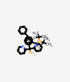 CC(C)(C)P(C[C]12[CH]3[C]4(c5ccccc5)[CH]5[C]1(C(P)(c1ccccn1)c1ccccn1)[Fe]35421678[CH]2[CH]1[CH]6[CH]7[CH]28)C(C)(C)C